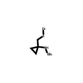 CCSCC1(NC(C)(C)C)CC1